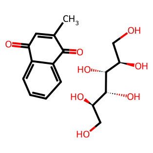 CC1=CC(=O)c2ccccc2C1=O.OC[C@@H](O)[C@@H](O)[C@H](O)[C@H](O)CO